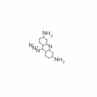 [N-]=[N+]=Nc1c2ccc(N)cc2nc2cc(N)ccc12